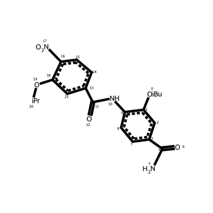 CC(C)COc1cc(C(N)=O)ccc1NC(=O)c1ccc([N+](=O)[O-])c(OC(C)C)c1